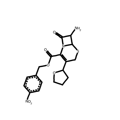 NC1C(=O)N2C(C(=O)OCc3ccc([N+](=O)[O-])cc3)=C(C3CCCO3)CSC12